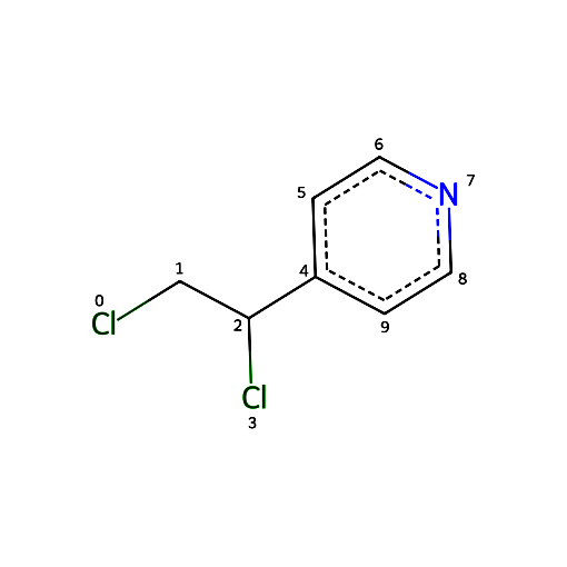 ClCC(Cl)c1ccncc1